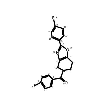 O=C(c1ccc(F)cc1)C1CCc2oc(-c3ccc(F)cc3)nc2C1